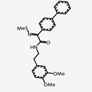 COc1ccc(CCNC(=O)C(=NSC)c2ccc(-c3ccccc3)cc2)cc1OC